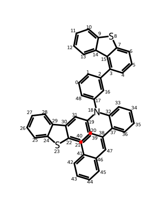 c1cc(-c2cccc3sc4ccccc4c23)cc(N(c2ccc3sc4ccccc4c3c2)c2ccccc2-c2ccc3ccccc3c2)c1